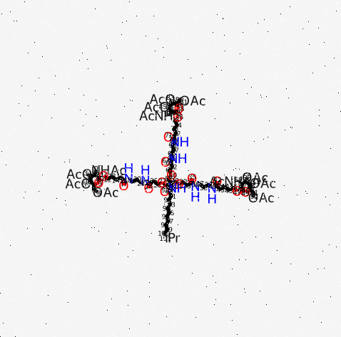 CC(=O)NC1C(OC(C)=O)[C@@H](OC(C)=O)C(COC(C)=O)O[C@H]1OCCCCC(=O)NCCCNC(=O)CCOCC(COCCC(=O)NCCCNC(=O)CCCCO[C@@H]1OC(COC(C)=O)[C@H](OC(C)=O)C(OC(C)=O)[C@@H]1NC(C)=O)(COCCC(=O)NCCCNC(=O)CCCCO[C@@H]1OC(COC(C)=O)[C@H](OC(C)=O)C(OC(C)=O)[C@@H]1NC(C)=O)NC(=O)CCCCCCCCCCC(C)C